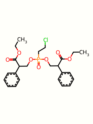 CCOC(=O)C(COP(=O)(CCCl)OCC(C(=O)OCC)c1ccccc1)c1ccccc1